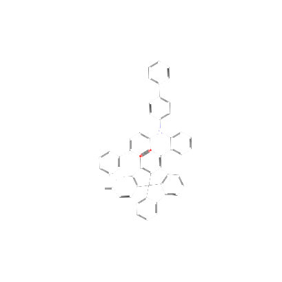 C=C/C=C\C1=C(C)c2ccc(-c3ccccc3N(c3ccc(-c4ccccc4)cc3)c3ccc(-c4ccccc4)cc3)cc2C12c1ccccc1-c1ccccc12